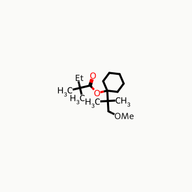 CCC(C)(C)C(=O)OC1(C(C)(C)COC)CCCCC1